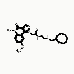 COc1ccc2c(c1)c1c(cnn1CC(=O)NCCNCC1CCCCCCC1)c(=O)n2C